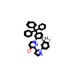 [CH2]c1cccc(-n2nccc2-c2nn(-c3cccc(C(c4ccccc4)(c4ccccc4)c4ccccc4)c3)ccc2=O)c1